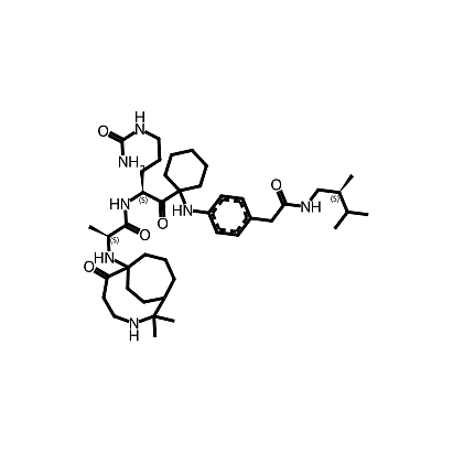 CC(C)[C@H](C)CNC(=O)Cc1ccc(NC2(C(=O)[C@H](CCCNC(N)=O)NC(=O)[C@H](C)NC34CCCC(CC3)C(C)(C)NCCC4=O)CCCCC2)cc1